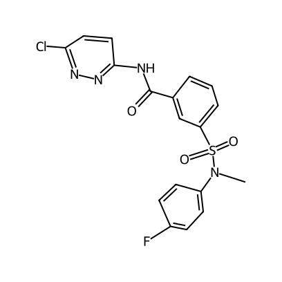 CN(c1ccc(F)cc1)S(=O)(=O)c1cccc(C(=O)Nc2ccc(Cl)nn2)c1